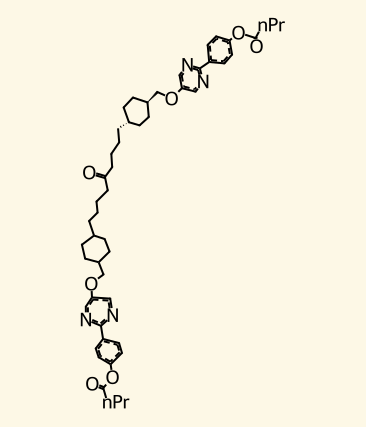 CCCC(=O)Oc1ccc(-c2ncc(OCC3CCC(CCCCC(=O)CCCC[C@H]4CC[C@H](COc5cnc(-c6ccc(OC(=O)CCC)cc6)nc5)CC4)CC3)cn2)cc1